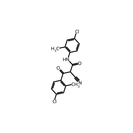 Cc1cc(Cl)ccc1NC(=O)C(C#N)C(=O)c1ccc(Cl)cc1C